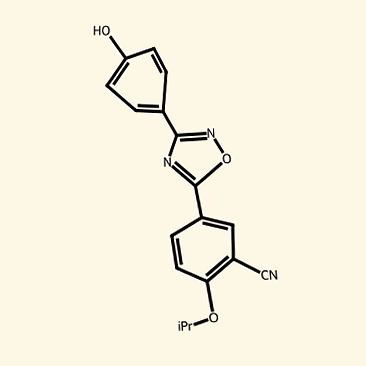 CC(C)Oc1ccc(-c2nc(-c3ccc(O)cc3)no2)cc1C#N